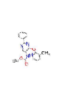 Cc1ccccc1Oc1nc(-c2ccccc2)ncc1NC(=O)OC(C)(C)C